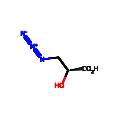 [N-]=[N+]=NC[C@@H](O)C(=O)O